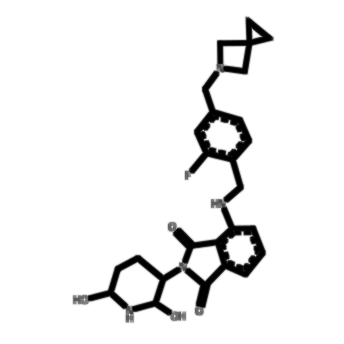 O=C1c2cccc(NCc3ccc(CN4CC5(CC5)C4)cc3F)c2C(=O)N1C1CCC(O)NC1O